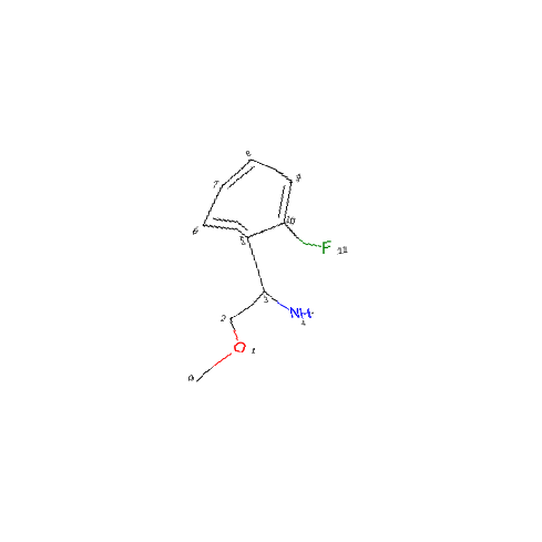 COCC([NH])c1ccccc1F